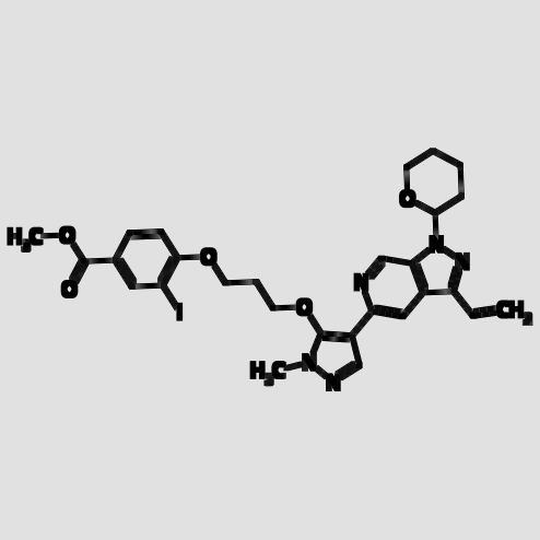 C=Cc1nn(C2CCCCO2)c2cnc(-c3cnn(C)c3OCCCOc3ccc(C(=O)OC)cc3I)cc12